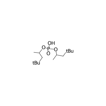 CC(CC(C)(C)C)OP(=O)(O)OC(C)CC(C)(C)C